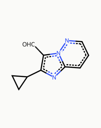 O=Cc1c(C2CC2)nc2cccnn12